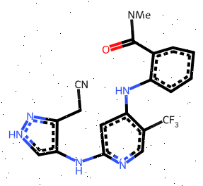 CNC(=O)c1ccccc1Nc1cc(Nc2c[nH]nc2CC#N)ncc1C(F)(F)F